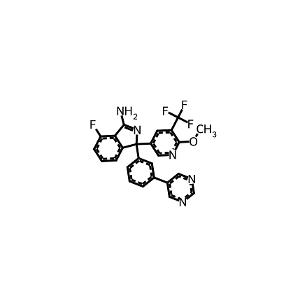 COc1ncc(C2(c3cccc(-c4cncnc4)c3)N=C(N)c3c(F)cccc32)cc1C(F)(F)F